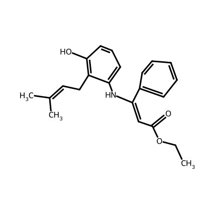 CCOC(=O)C=C(Nc1cccc(O)c1CC=C(C)C)c1ccccc1